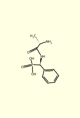 C[C@H](N)C(=O)N[C@@H](c1ccccc1)P(=O)(O)O